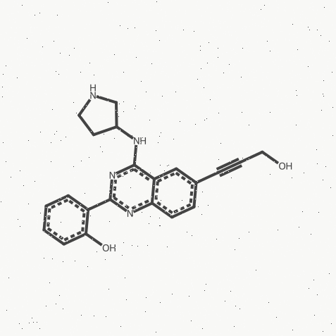 OCC#Cc1ccc2nc(-c3ccccc3O)nc(NC3CCNC3)c2c1